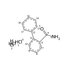 Cl.Cl.Cl.NC(=O)c1ccccc1-c1ccccc1